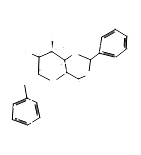 C[C@@H]1C(O)[C@@H](Sc2ccccc2)OC2COC(c3ccccc3)O[C@@H]21